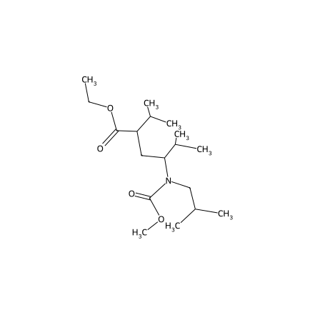 CCOC(=O)C(CC(C(C)C)N(CC(C)C)C(=O)OC)C(C)C